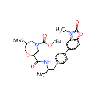 CSC1COC(C(=O)N[C@H](C#N)Cc2ccc(-c3ccc4oc(=O)n(C)c4c3)cc2)CN(C(=O)OC(C)(C)C)C1